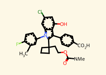 CNC(=O)OCCC1(c2c(-c3ccc(C(=O)O)cc3)c3c(O)cc(Cl)cc3n2-c2ccc(F)c(C)c2)CCC1